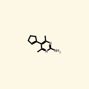 Cc1nc(N)nc(C)c1C1=CCCC1